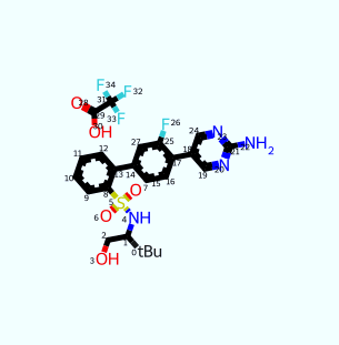 CC(C)(C)C(CO)NS(=O)(=O)c1ccccc1-c1ccc(-c2cnc(N)nc2)c(F)c1.O=C(O)C(F)(F)F